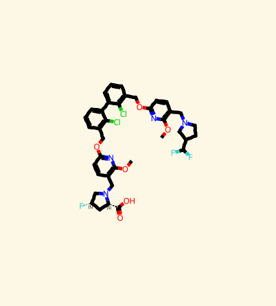 COc1nc(OCc2cccc(-c3cccc(COc4ccc(CN5C[C@@H](F)C[C@H]5C(=O)O)c(OC)n4)c3Cl)c2Cl)ccc1CN1CCC(C(F)F)C1